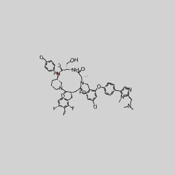 C[C@H]1C(=O)N[C@@H](CO)C(=O)N[C@@]2(Cc3ccc(Cl)cc3)CCCN(C2)C(=O)[C@H](Cc2ccc(F)c(F)c2F)CC(=O)N1Cc1c(F)cc(Cl)cc1Oc1ccc(-c2cnc(CN(C)C)n2C)cc1